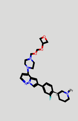 CC(C)N1CCC[C@@H](c2ccc(-c3cc4c(N5CCN(COCOC6COC6)CC5)ccnn4c3)cc2F)C1